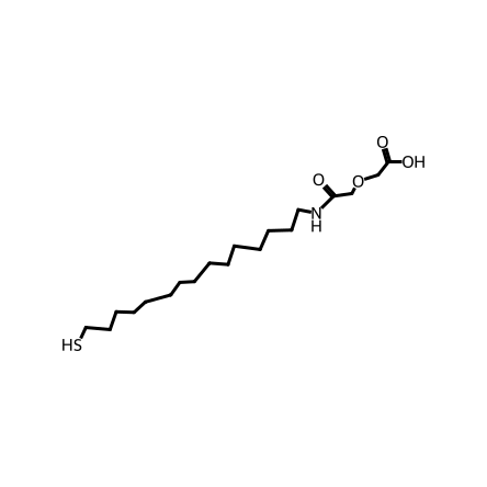 O=C(O)COCC(=O)NCCCCCCCCCCCCCCCS